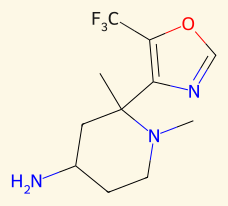 CN1CCC(N)CC1(C)c1ncoc1C(F)(F)F